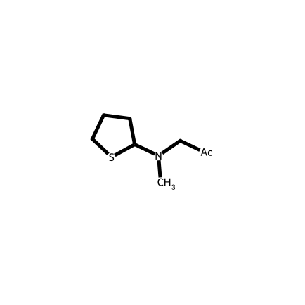 CC(=O)CN(C)C1CCCS1